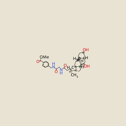 COC(=O)c1ccc(CNC(=O)CNC(=O)CC[C@@H](C)[C@H]2CC[C@H]3[C@@H]4[C@@H](O)C[C@@H]5C[C@H](O)CC[C@]5(C)[C@H]4CC[C@]23C)cc1